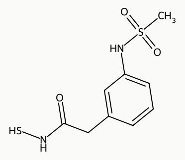 CS(=O)(=O)Nc1cccc(CC(=O)NS)c1